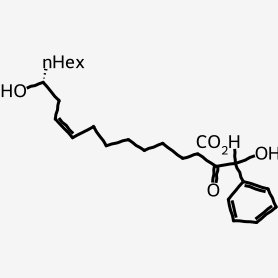 CCCCCC[C@@H](O)C/C=C\CCCCCCCC(=O)C(O)(C(=O)O)c1ccccc1